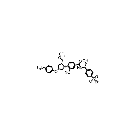 CCS(=O)(=O)c1ccc([C@H](CO)NC(=O)c2ccc(N3C[C@@H](Oc4ccc(C(F)(F)F)cc4)C[C@H]3COC(F)(F)F)c(C#N)c2)cc1